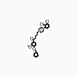 COc1cc(C(=O)CCCCN2CCN(c3cccc(Cl)c3Cl)CC2)ccc1OCc1ccccc1